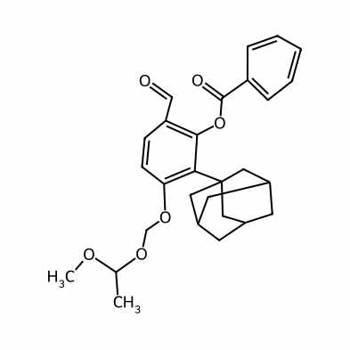 COC(C)OCOc1ccc(C=O)c(OC(=O)c2ccccc2)c1C12CC3CC(CC(C3)C1)C2